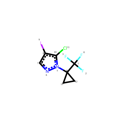 FC(F)(F)C1(n2ncc(I)c2Cl)CC1